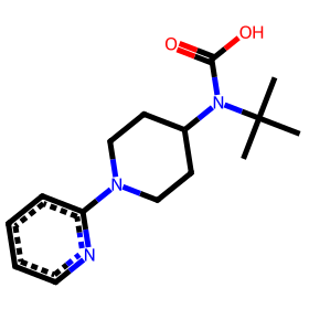 CC(C)(C)N(C(=O)O)C1CCN(c2ccccn2)CC1